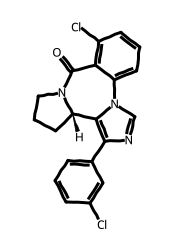 O=C1c2c(Cl)cccc2-n2cnc(-c3cccc(Cl)c3)c2[C@@H]2CCCN12